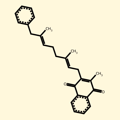 CC1=C(C/C=C(\C)CC/C=C(\C)Cc2ccccc2)C(=O)c2ccccc2C1=O